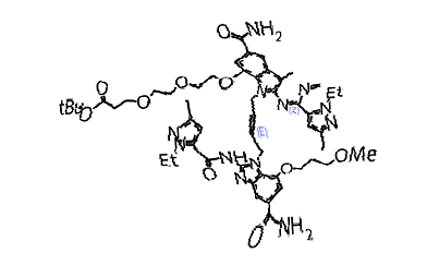 C=N/C(=N\c1c(C)c2cc(C(N)=O)cc(OCCOCCOCCC(=O)OC(C)(C)C)c2n1C/C=C/Cn1c(NC(=O)c2cc(C)nn2CC)nc2cc(C(N)=O)cc(OCCCOC)c21)c1cc(C)nn1CC